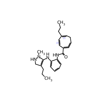 CCCC1=C(Nc2ccccc2NC(=O)C2=C=CC/C=C(CCC)\C=C/2)N(C)NC1